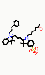 CC(=O)CCCCCN1/C(=C/C=C/C2=[N+](CCCc3ccccc3)c3ccccc3C2(C)C)C(C)(C)c2cc(S(=O)(=O)[O-])ccc21